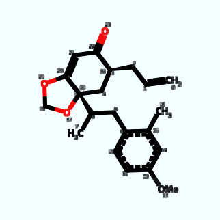 C=CC[C@H]1C[C@]2(C(C)Cc3ccc(OC)cc3C)OCOC2=CC1=O